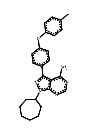 Cc1ccc(Oc2ccc(-c3nn(C4CCCCCC4)c4ncnc(N)c34)cc2)cc1